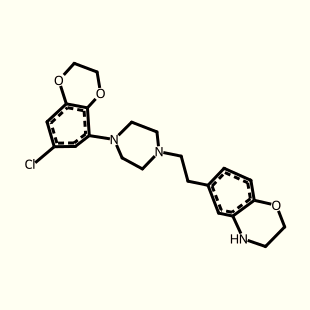 Clc1cc2c(c(N3CCN(CCc4ccc5c(c4)NCCO5)CC3)c1)OCCO2